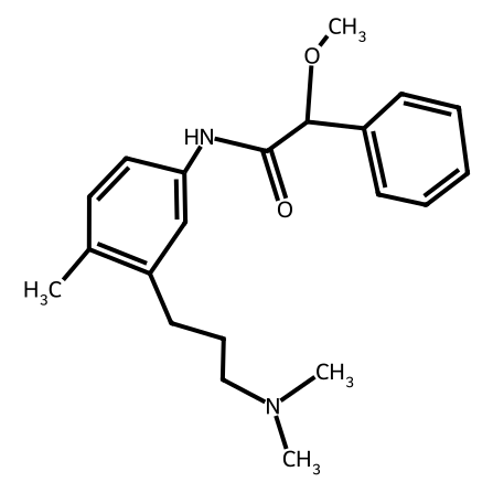 COC(C(=O)Nc1ccc(C)c(CCCN(C)C)c1)c1ccccc1